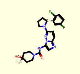 O=C(Nc1cnc2ccc(N3CCC[C@@H]3c3cc(F)ccc3F)nn12)N1CCC(O)(C(F)(F)F)CC1